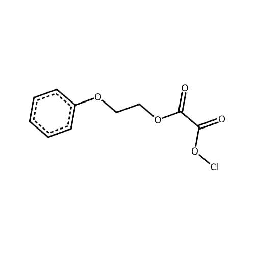 O=C(OCl)C(=O)OCCOc1ccccc1